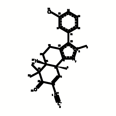 [C-]#[N+]C1=C[C@]2(C)c3nn(C)c(-c4cccc(Cl)c4)c3CC[C@H]2C(C)(C)C1=O